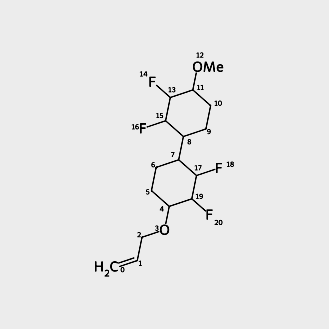 C=CCOC1CCC(C2CCC(OC)C(F)C2F)C(F)C1F